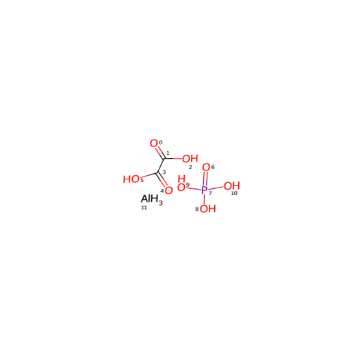 O=C(O)C(=O)O.O=P(O)(O)O.[AlH3]